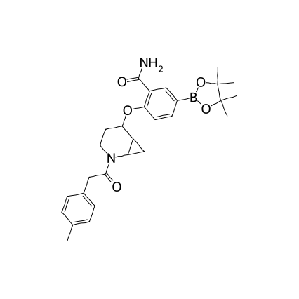 Cc1ccc(CC(=O)N2CCC(Oc3ccc(B4OC(C)(C)C(C)(C)O4)cc3C(N)=O)C3CC32)cc1